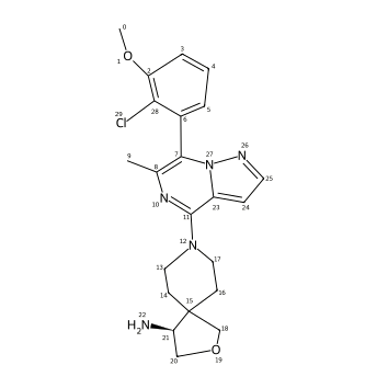 COc1cccc(-c2c(C)nc(N3CCC4(CC3)COC[C@H]4N)c3ccnn23)c1Cl